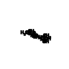 C=C/C=C(\C=C/NCCCC(=C)C)/C=C/c1cc(C)c(O)c(O)c1